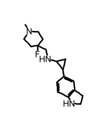 CN1CCC(F)(CNC2CC2c2ccc3c(c2)CCN3)CC1